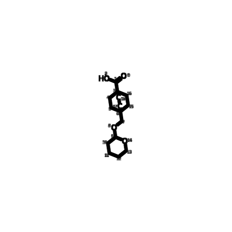 O=C(O)C12CCC(COC3CCCCO3)(CC1)CC2